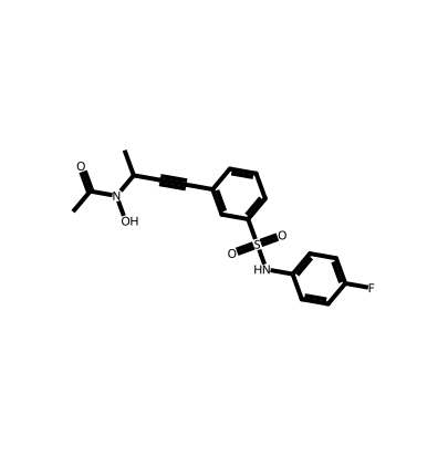 CC(=O)N(O)C(C)C#Cc1cccc(S(=O)(=O)Nc2ccc(F)cc2)c1